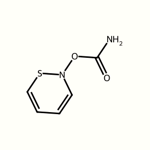 NC(=O)ON1C=CC=CS1